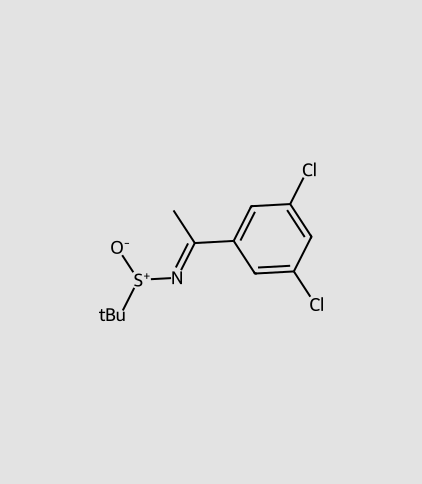 CC(=N[S+]([O-])C(C)(C)C)c1cc(Cl)cc(Cl)c1